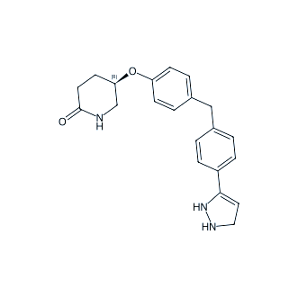 O=C1CC[C@@H](Oc2ccc(Cc3ccc(C4=CCNN4)cc3)cc2)CN1